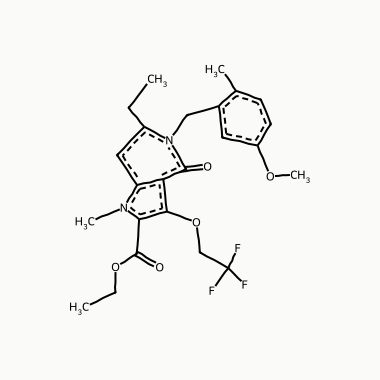 CCOC(=O)c1c(OCC(F)(F)F)c2c(=O)n(Cc3cc(OC)ccc3C)c(CC)cc2n1C